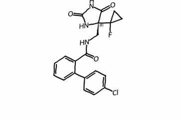 O=C1NC(=O)[C@](CNC(=O)c2ccccc2-c2ccc(Cl)cc2)(C2(F)CC2)N1